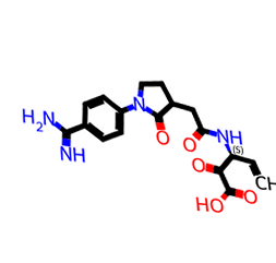 C=C[C@H](NC(=O)CC1CCN(c2ccc(C(=N)N)cc2)C1=O)C(=O)C(=O)O